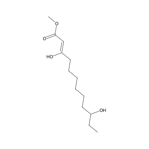 CCC(O)CCCCCCC(O)=CC(=O)OC